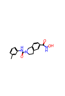 Cc1cccc(NC(=O)N2CCc3cc(C(=O)NO)ccc3C2)c1